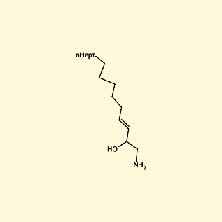 CCCCCCCCCCCCC=CC(O)CN